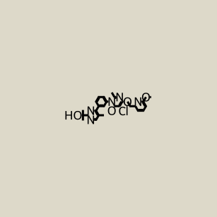 COc1cccc(COc2nc(C)n(-c3cccc(-c4nc(C(C)(C)O)ncc4C)c3)c(=O)c2Cl)n1